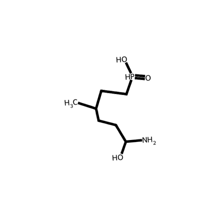 CC(CCC(N)O)CC[PH](=O)O